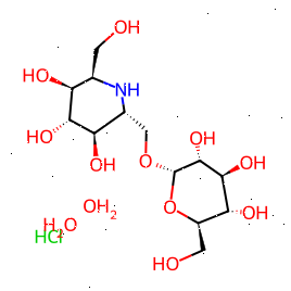 Cl.O.O.OC[C@H]1N[C@H](CO[C@H]2O[C@H](CO)[C@@H](O)[C@H](O)[C@H]2O)[C@@H](O)[C@H](O)[C@H]1O